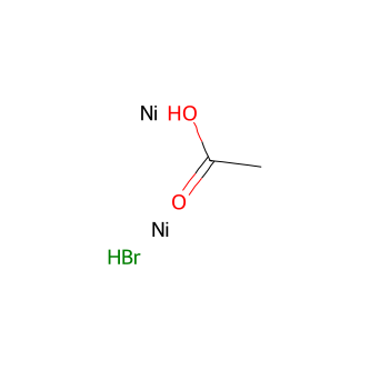 Br.CC(=O)O.[Ni].[Ni]